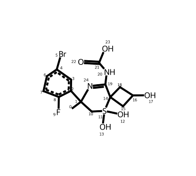 CC1(c2cc(Br)ccc2F)CS(O)(O)C2(CC(O)C2)C(NC(=O)O)=N1